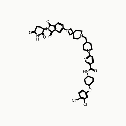 N#Cc1ccc(O[C@H]2CC[C@H](NC(=O)c3ccc(N4CCC(CN5CCC6(CC5)CN(c5ccc7c(c5)C(=O)N(C5CCC(=O)NC5=O)C7=O)C6)CC4)nn3)CC2)cc1Cl